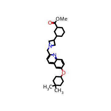 COC(=O)C1CCCC(C2CN(Cc3ccc4cc(OC5CCC(C)(C)CC5)ccc4n3)C2)C1